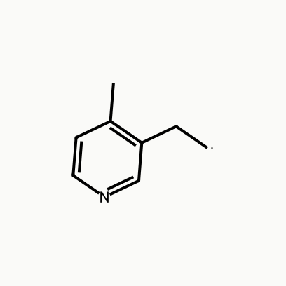 [CH2]Cc1cnccc1C